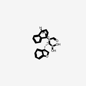 O=CN([C@@H](C[C@@H]1COc2ccccc21)B(O)O)[C@]12CC[C@H](O1)c1ccccc12